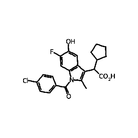 Cc1c(C(C(=O)O)C2CCCC2)c2cc(O)c(F)cc2n1C(=O)c1ccc(Cl)cc1